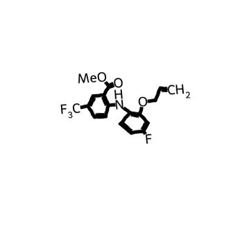 C=CCOc1cc(F)ccc1Nc1ccc(C(F)(F)F)cc1C(=O)OC